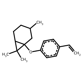 C=Cc1ccc(OC23CC(C)CCC2C3(C)C)cc1